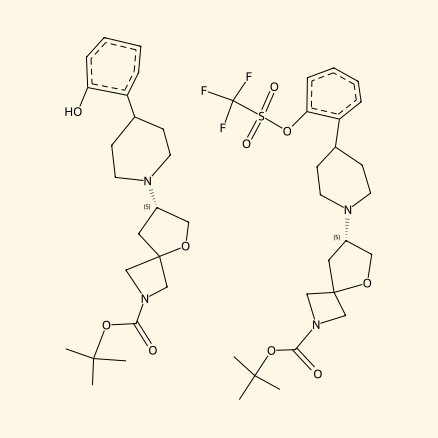 CC(C)(C)OC(=O)N1CC2(C[C@H](N3CCC(c4ccccc4O)CC3)CO2)C1.CC(C)(C)OC(=O)N1CC2(C[C@H](N3CCC(c4ccccc4OS(=O)(=O)C(F)(F)F)CC3)CO2)C1